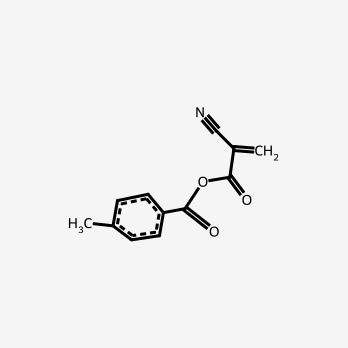 C=C(C#N)C(=O)OC(=O)c1ccc(C)cc1